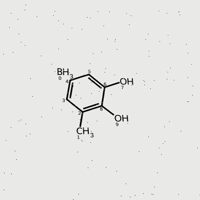 B.Cc1cccc(O)c1O